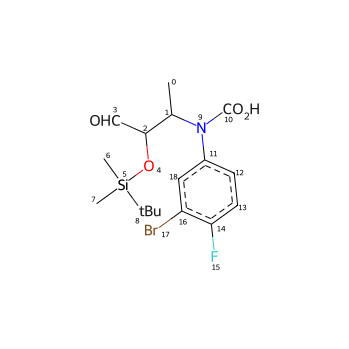 CC(C(C=O)O[Si](C)(C)C(C)(C)C)N(C(=O)O)c1ccc(F)c(Br)c1